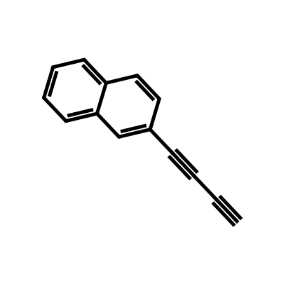 C#CC#Cc1ccc2ccccc2c1